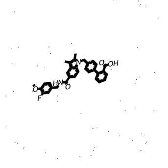 COc1ccc(CNC(=O)c2ccc3c(c2)c(C)c(C)n3Cc2ccc(-c3ccccc3C(=O)O)cc2)cc1F